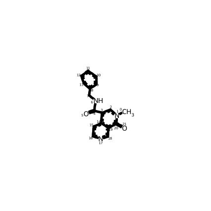 Cn1cc(C(=O)NCc2ccccc2)c2ccncc2c1=O